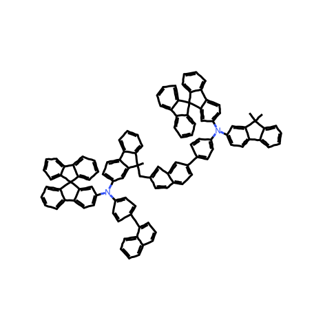 CC1(C)c2ccccc2-c2ccc(N(c3ccc(-c4ccc5ccc(CC6(C)c7ccccc7-c7ccc(N(c8ccc(-c9cccc%10ccccc9%10)cc8)c8ccc9c(c8)C8(c%10ccccc%10-c%10ccccc%108)c8ccccc8-9)cc76)cc5c4)cc3)c3ccc4c(c3)C3(c5ccccc5-c5ccccc53)c3ccccc3-4)cc21